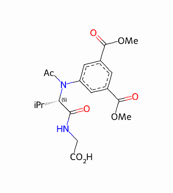 COC(=O)c1cc(C(=O)OC)cc(N(C(C)=O)[C@H](C(=O)NCC(=O)O)C(C)C)c1